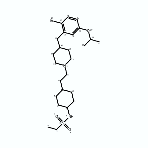 CCS(=O)(=O)NC1CCC(CCN2CCC(Cc3cc(OC(C)C)ccc3Br)CC2)CC1